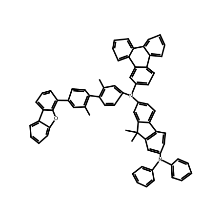 Cc1cc(-c2cccc3c2oc2ccccc23)ccc1-c1ccc(N(c2ccc3c(c2)C(C)(C)c2cc(N(c4ccccc4)c4ccccc4)ccc2-3)c2ccc3c4ccccc4c4ccccc4c3c2)cc1C